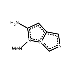 CNn1c(N)cc2cncn21